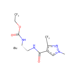 CC[C@H](C)[C@@H](CNC(=O)c1cn(C)nc1C(F)(F)F)NC(=O)OCC(F)(F)F